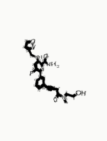 CN(CCO)C(=O)CC#Cc1cccc(-c2nc(C(N)=O)c(NCc3ccon3)cc2F)c1